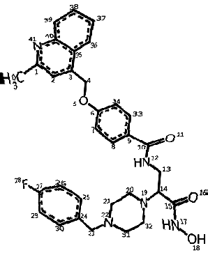 Cc1cc(COc2ccc(C(=O)NCC(C(=O)NO)N3CCN(Cc4ccc(F)cc4)CC3)cc2)c2ccccc2n1